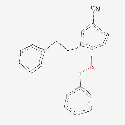 N#Cc1ccc(OCc2ccccc2)c(CCc2ccccc2)c1